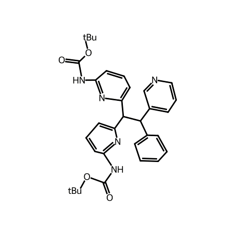 CC(C)(C)OC(=O)Nc1cccc(C(c2cccc(NC(=O)OC(C)(C)C)n2)C(c2ccccc2)c2cccnc2)n1